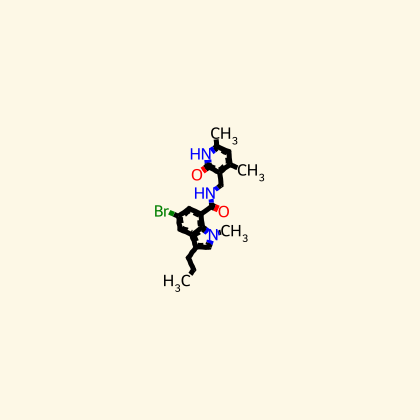 CCCc1cn(C)c2c(C(=O)NCc3c(C)cc(C)[nH]c3=O)cc(Br)cc12